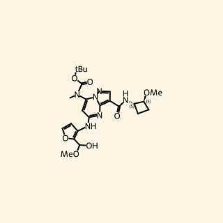 COC(O)c1occc1Nc1cc(N(C)C(=O)OC(C)(C)C)n2ncc(C(=O)N[C@H]3CC[C@@H]3OC)c2n1